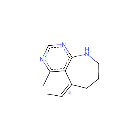 C/C=C1/CCCNc2ncnc(C)c21